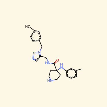 Cc1cccc(NC2(C(=O)NCc3cncn3Cc3ccc(C#N)cc3)CCNCC2)c1